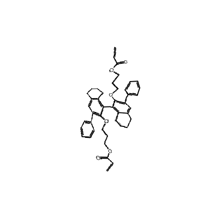 C=CC(=O)OCCCOc1c(-c2ccccc2)cc2c(c1-c1c3c(cc(-c4ccccc4)c1OCCCOC(=O)C=C)CCCC3)CCCC2